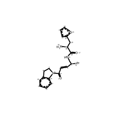 CCC[C@@H](/C=C/C(=O)N1CCc2ccccc21)NC(=O)[C@@H](N)Cc1cccs1